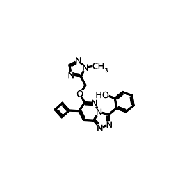 Cn1ncnc1COc1nn2c(-c3ccccc3O)nnc2cc1C1=CC=C1